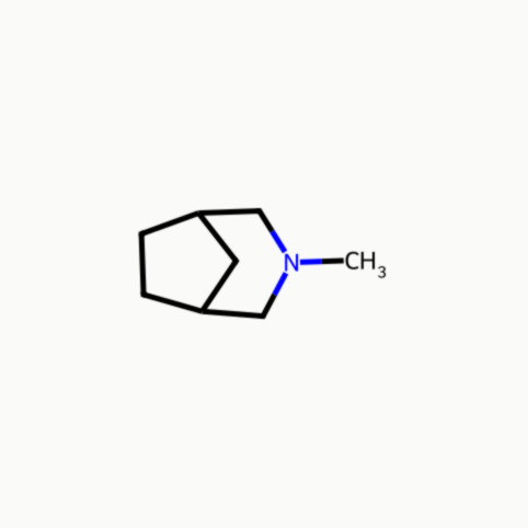 CN1CC2CCC(C2)C1